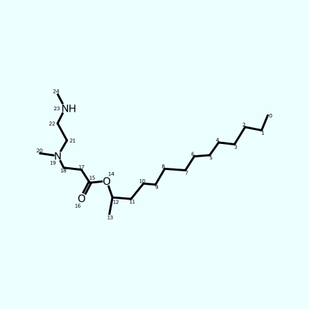 CCCCCCCCCCCCC(C)OC(=O)CCN(C)CCNC